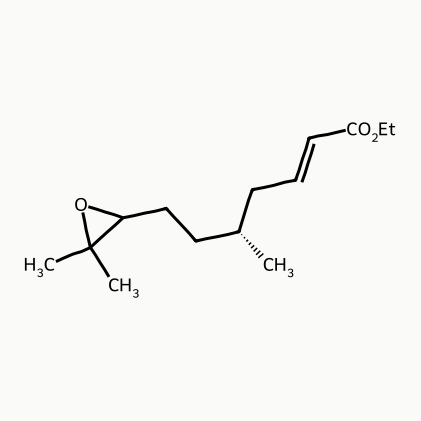 CCOC(=O)C=CC[C@H](C)CCC1OC1(C)C